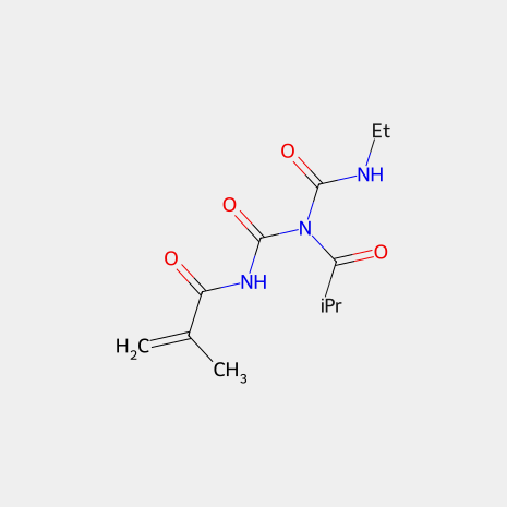 C=C(C)C(=O)NC(=O)N(C(=O)NCC)C(=O)C(C)C